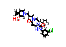 C[C@@H]1CN(CCCN2CCC3(CC3)[C@H](O)C2)C(=O)CCN1C(=O)Nc1cccc(Cl)c1